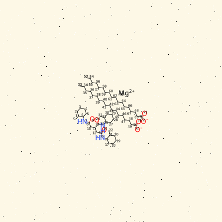 CC1CCCCC1NC(=O)CC(CC(=O)NC1CCCCC1C)C(=O)NC1CCCCC1C.CCCCCCCCCCCCCCCCCC(=O)[O-].CCCCCCCCCCCCCCCCCC(=O)[O-].[Mg+2]